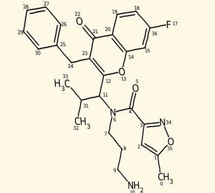 Cc1cc(C(=O)N(CCCN)C(c2oc3cc(F)ccc3c(=O)c2Cc2ccccc2)C(C)C)no1